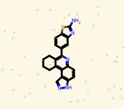 Nc1nc2cc(-c3nc4ccc5[nH]ncc5c4c4c3CCCC4)ccc2s1